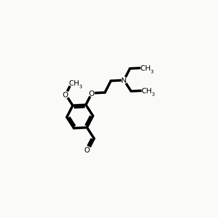 CCN(CC)CCOc1cc(C=O)ccc1OC